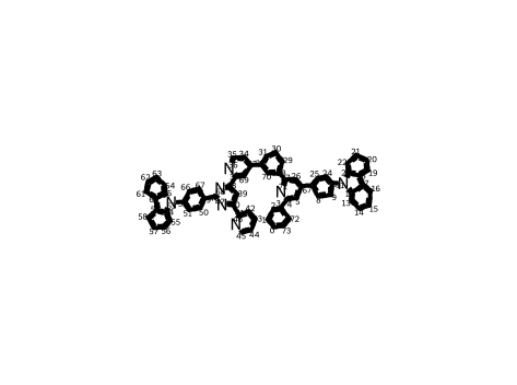 c1ccc(-c2cc(-c3ccc(-n4c5ccccc5c5ccccc54)cc3)cc(-c3cccc(-c4ccnc(-c5cc(-c6ccccn6)nc(-c6ccc(-n7c8ccccc8c8ccccc87)cc6)n5)c4)c3)n2)cc1